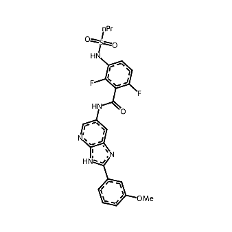 CCCS(=O)(=O)Nc1ccc(F)c(C(=O)Nc2cnc3[nH]c(-c4cccc(OC)c4)nc3c2)c1F